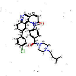 CC(C)CCN1CCN(C(=O)c2ccc(-n3c(=O)ccc4cnc5ccc(-c6ccc(Cl)cc6)cc5c43)cc2)CC1